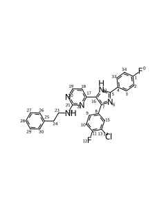 Fc1ccc(-c2nc(-c3ccc(F)c(Cl)c3)c(-c3ccnc(NCCc4ccccc4)n3)[nH]2)cc1